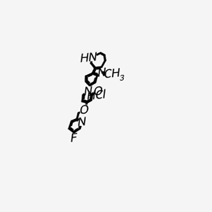 Cl.Cn1c2c(c3ccc(-n4ccc(OCc5ccc(F)cn5)cc4=O)cc31)CNCCC2